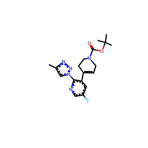 Cc1cn(-c2ncc(F)cc2C2=CCN(C(=O)OC(C)(C)C)CC2)nn1